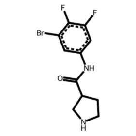 O=C(Nc1cc(F)c(F)c(Br)c1)C1CCNC1